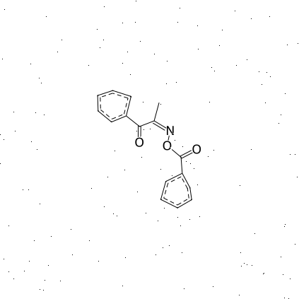 C/C(=N/OC(=O)c1ccccc1)C(=O)c1ccccc1